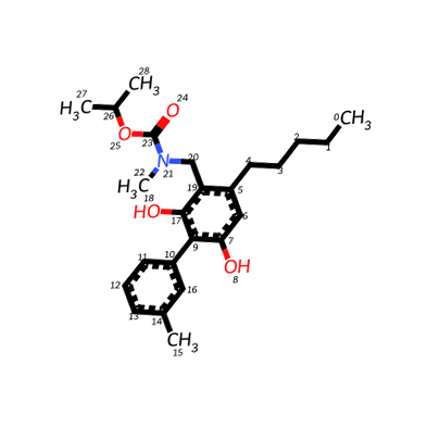 CCCCCc1cc(O)c(-c2cccc(C)c2)c(O)c1CN(C)C(=O)OC(C)C